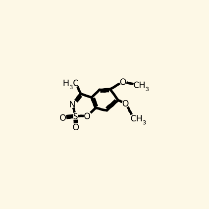 COc1cc2c(cc1OC)C(C)=NS(=O)(=O)O2